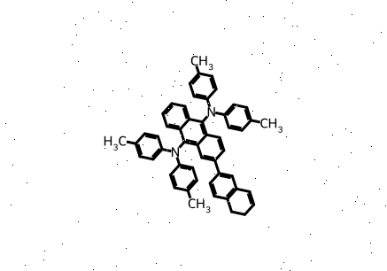 Cc1ccc(N(c2ccc(C)cc2)c2c3ccccc3c(N(c3ccc(C)cc3)c3ccc(C)cc3)c3cc(-c4ccc5c(c4)C=CCC5)ccc23)cc1